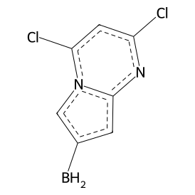 Bc1cc2nc(Cl)cc(Cl)n2c1